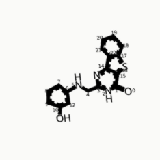 O=c1[nH]c(CNc2cccc(O)c2)nc2c1sc1ccccc12